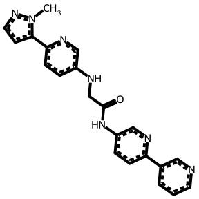 Cn1nccc1-c1ccc(NCC(=O)Nc2ccc(-c3cccnc3)nc2)cn1